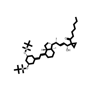 CCCCCCC(=O)C1([C@H](O)/C=C/[C@@H](C)[C@H]2CC[C@H]3/C(=C/C=C4C[C@@H](O[Si](C)(C)C(C)(C)C)C[C@H](O[Si](C)(C)C(C)(C)C)C4)CCC[C@]23C)CC1